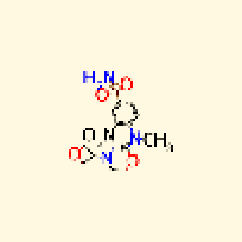 CN(c1ccc(S(N)(=O)=O)cc1[N+](=O)[O-])[C@@H]1CN(C2COC2)CCO1